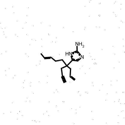 C#CCC(CC=C)(CCC=CC)c1cnc(N)[nH]1